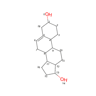 OC1CCC2C(=CCC3C2CCC2C(O)CCC23)C1